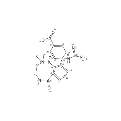 CN1CC[N+](C)(C)C(=O)c2c(cccc2C2(NC(=N)N)C=CC(C(=O)[O-])=CC2)C1=O